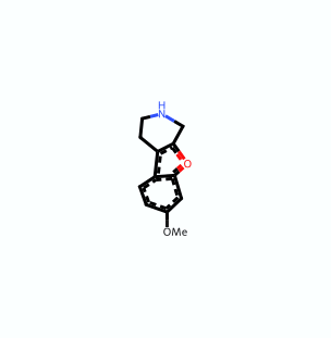 COc1ccc2c3c(oc2c1)CNCC3